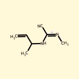 C=CC(C)N/C(C#N)=N\C